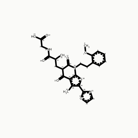 COc1ccccc1CCN1C(=O)C(CC(C)C(=O)NCC(=O)O)C(=O)c2c1sc(-c1ncco1)c2C